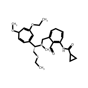 CCOC1=CC(OC)C=CC([C@@H](CSCC)N(C)CC2=CCC=CC(NC(=O)C3CC3)=C2C=O)=C1